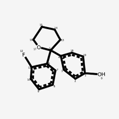 Oc1ccc(C2(c3ccccc3F)CCCCO2)cc1